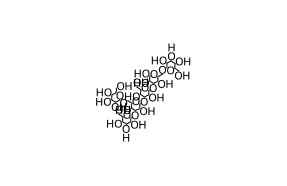 OCC1OC(OCC2OC(O)C(O)C(OC3OC(CO)C(O)C(OC4OC(COC5OC(CO)C(O)C(O)C5O)[C@@H](O)C(OC5OC(CO)C(O)C(O)C5O)C4O)C3O)C2O)C(O)C(O)C1O